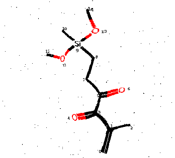 C=C(C)C(=O)C(=O)CC[Si](C)(OC)OC